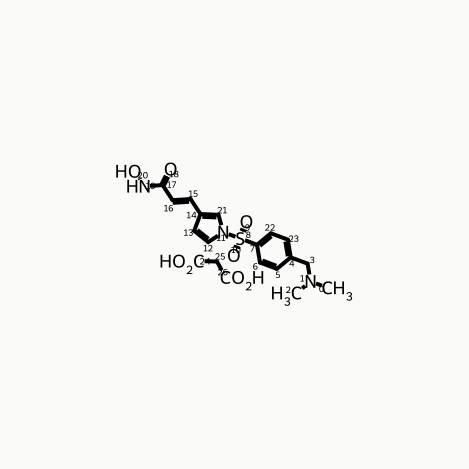 CN(C)Cc1ccc(S(=O)(=O)n2ccc(/C=C/C(=O)NO)c2)cc1.O=C(O)CC(=O)O